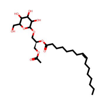 CCCCCCC/C=C\CCCCCCC(=O)O[C@@H](COC(C)=O)COC1OC(CO)C(O)C(O)C1O